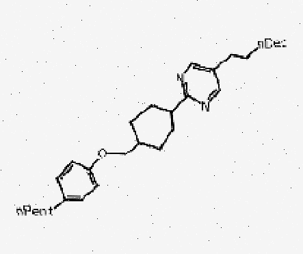 CCCCCCCCCCCCc1cnc(C2CCC(COc3ccc(CCCCC)cc3)CC2)nc1